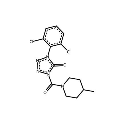 CC1CCN(C(=O)n2nnn(-c3c(Cl)cccc3Cl)c2=O)CC1